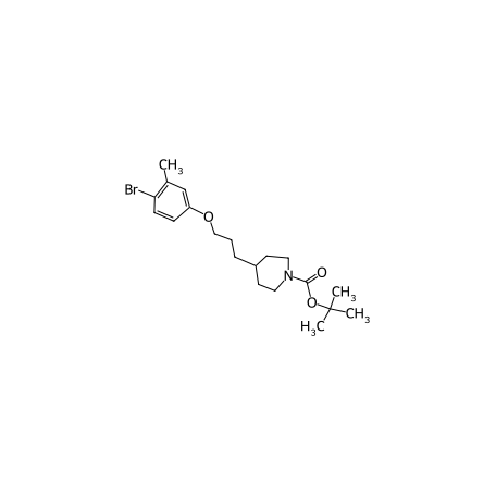 Cc1cc(OCCCC2CCN(C(=O)OC(C)(C)C)CC2)ccc1Br